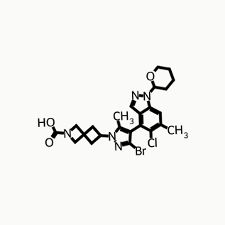 Cc1cc2c(cnn2C2CCCCO2)c(-c2c(Br)nn(C3CC4(C3)CN(C(=O)O)C4)c2C)c1Cl